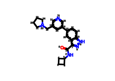 O=C(NC1CCC1)c1n[nH]c2ccc(-c3cncc(CN4CCCC4)c3)cc12